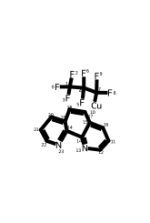 FC(F)(F)C(F)(F)[C](F)(F)[Cu].c1cnc2c(c1)ccc1cccnc12